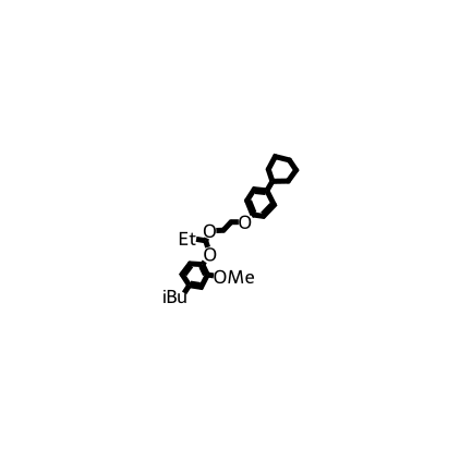 CCC(OCCOc1ccc(C2CCCCC2)cc1)Oc1ccc(C(C)CC)cc1OC